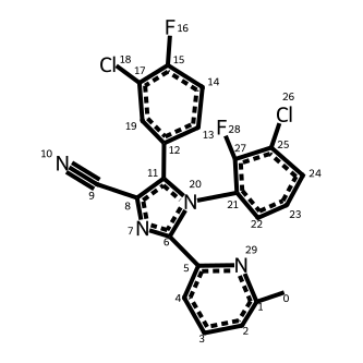 Cc1cccc(-c2nc(C#N)c(-c3ccc(F)c(Cl)c3)n2-c2cccc(Cl)c2F)n1